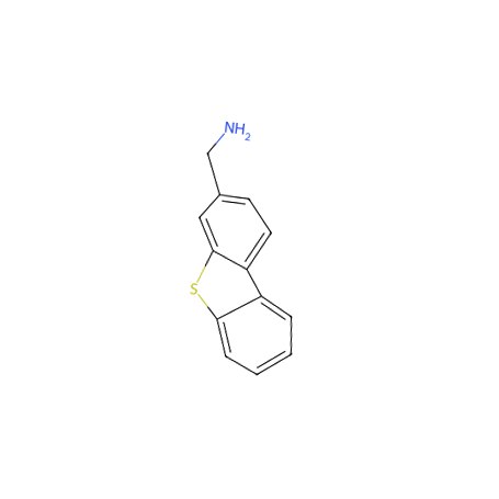 NCc1ccc2c(c1)sc1ccccc12